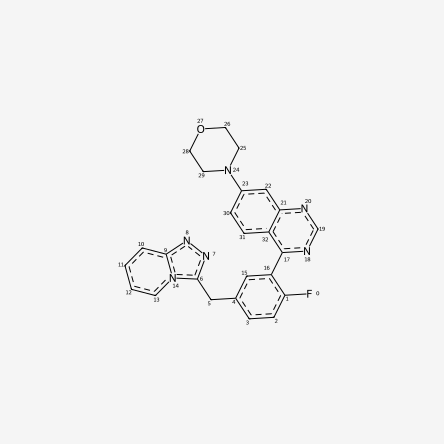 Fc1ccc(Cc2nnc3ccccn23)cc1-c1ncnc2cc(N3CCOCC3)ccc12